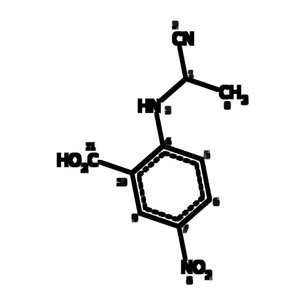 CC(C#N)Nc1ccc([N+](=O)[O-])cc1C(=O)O